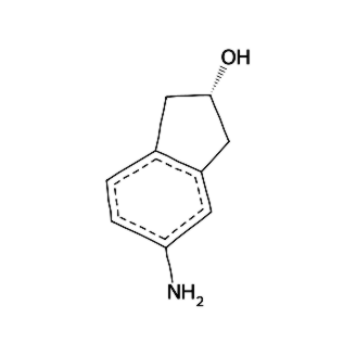 Nc1ccc2c(c1)C[C@@H](O)C2